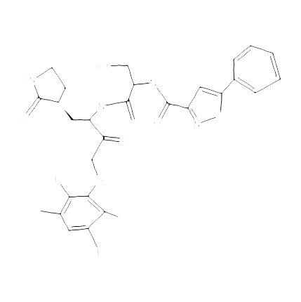 CC(C)CC(NC(=O)c1cc(-c2ccccc2)on1)C(=O)NC(C[C@@H]1CCNC1=O)C(=O)COc1c(F)c(F)cc(F)c1F